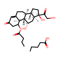 CCCC(=O)OC1CC(=O)C=C2CC[C@@H]3[C@H]([C@@H](O)C[C@@]4(C)[C@H]3CC[C@]4(O)C(=O)CO)[C@]21C.CCCCC(=O)O